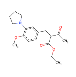 CCOC(=O)C(Cc1ccc(OC)c(N2CCCC2)c1)C(C)=O